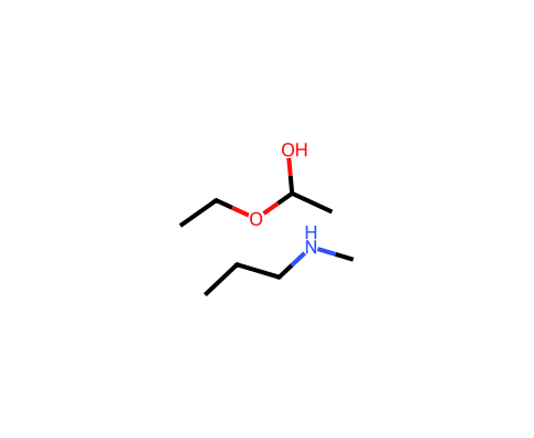 CCCNC.CCOC(C)O